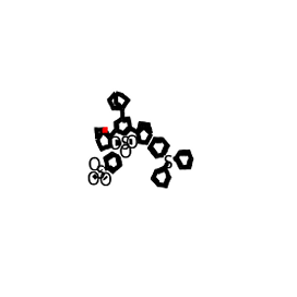 O=S(=O)([O-])c1ccc(OS(=O)(=O)c2c(C34CCC(CC3)C4)cc(C34CCC(CC3)C4)cc2C23CCC(CC2)C3)cc1.c1ccc([S+](c2ccccc2)c2ccccc2)cc1